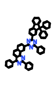 c1ccc(-c2nc(-c3ccc4c(c3)C(c3ccccc3)(c3ccccc3)c3ccccc3-4)nc(-c3ccc4ccc5c(-c6ccccc6)nc(-c6ccccc6)nc5c4c3)n2)cc1